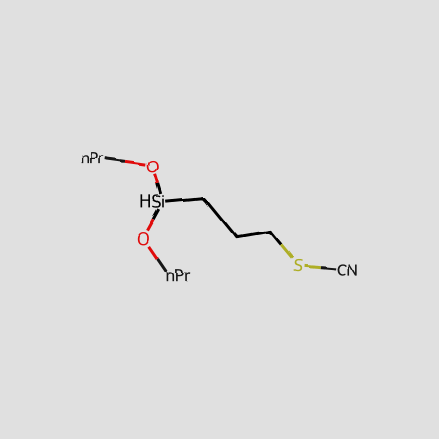 CCCO[SiH](CCCSC#N)OCCC